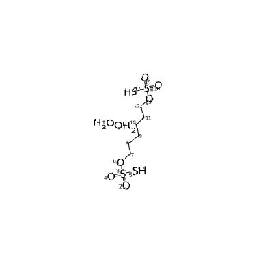 O.O.O=S(=O)(S)OCCCCCCOS(=O)(=O)S